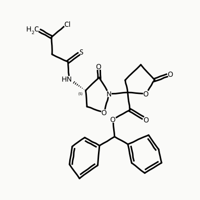 C=C(Cl)CC(=S)N[C@H]1CON(C2(C(=O)OC(c3ccccc3)c3ccccc3)CCC(=O)O2)C1=O